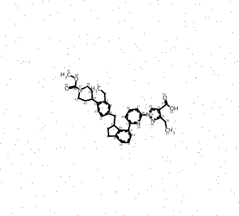 CCc1cc(CC2CCc3cccc(-c4cccc(-n5cc(C(=O)O)c(CC)n5)n4)c32)ccc1C1CCN(C(=O)OC)CC1